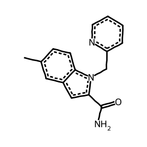 Cc1ccc2c(c1)cc(C(N)=O)n2Cc1ccccn1